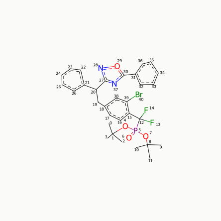 CC(C)(C)OP(=O)(OC(C)(C)C)C(F)(F)c1ccc(CC(c2ccccc2)c2noc(-c3ccccc3)n2)cc1Br